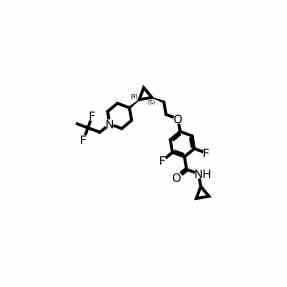 CC(F)(F)CN1CCC([C@H]2C[C@H]2CCOc2cc(F)c(C(=O)NC3CC3)c(F)c2)CC1